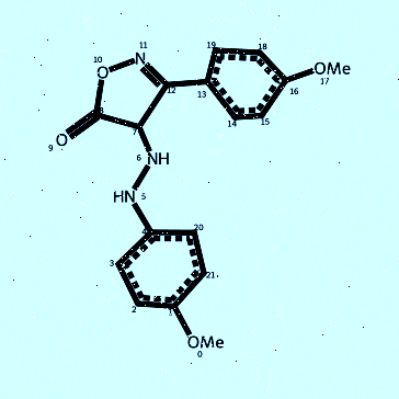 COc1ccc(NNC2C(=O)ON=C2c2ccc(OC)cc2)cc1